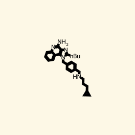 CCCCc1nc2c(N)nc3ccccc3c2n1Cc1ccc(CNCCCC2CC2)cc1